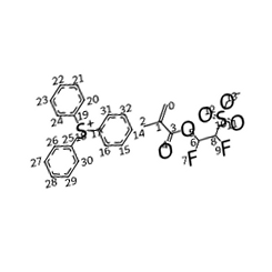 C=C(C)C(=O)OC(F)C(F)S(=O)(=O)[O-].c1ccc([S+](c2ccccc2)c2ccccc2)cc1